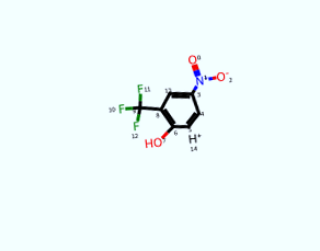 O=[N+]([O-])c1ccc(O)c(C(F)(F)F)c1.[H+]